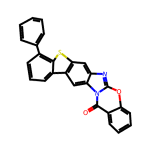 O=c1c2ccccc2oc2nc3cc4sc5c(-c6ccccc6)cccc5c4cc3n12